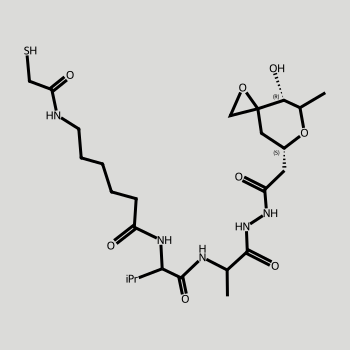 CC(NC(=O)C(NC(=O)CCCCCNC(=O)CS)C(C)C)C(=O)NNC(=O)C[C@@H]1CC2(CO2)[C@H](O)C(C)O1